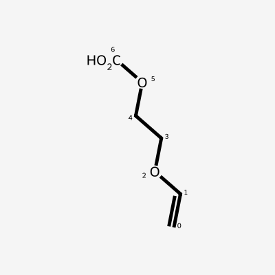 C=COCCOC(=O)O